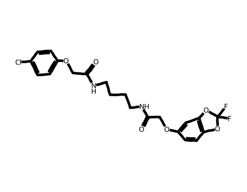 O=C(COc1ccc(Cl)cc1)NCCCCNC(=O)COc1ccc2c(c1)OC(F)(F)O2